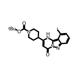 CC(C)(C)OC(=O)N1CCC(c2cc(=O)n3nc4cccc(I)c4c3[nH]2)CC1